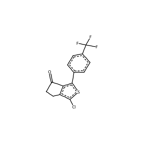 O=C1CCc2c(Cl)sc(-c3ccc(C(F)(F)F)cc3)c21